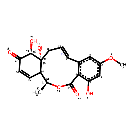 COc1cc(O)c2c(c1)/C=C/C[C@@]1(O)C(C=CC(=O)[C@H]1O)[C@H](C)OC2=O